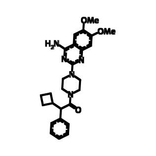 COc1cc2nc(N3CCN(C(=O)C(c4ccccc4)C4CCC4)CC3)nc(N)c2cc1OC